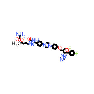 C[C@@H](CCCn1nc(-c2ccc(N3CCN(c4ccc(OCC5CO[C@@](Cn6cncn6)(c6ccc(F)cc6F)C5)cc4)CC3)cc2)[nH]c1=O)OC(=O)CN